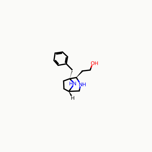 OCC[C@H]1NC[C@@H]2CC[C@]1(Cc1ccccc1)N2